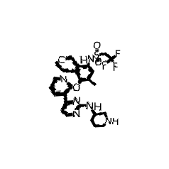 Cc1cc(NS(=O)(=O)CC(F)(F)F)c2ccccc2c1Oc1ncccc1-c1ccnc(NC2CCCNC2)n1